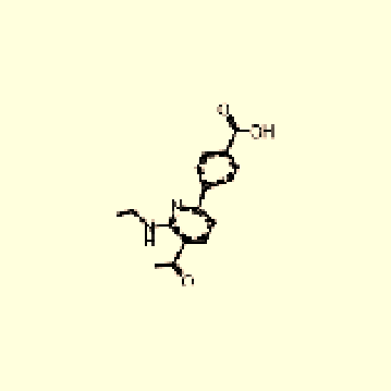 CCNc1nc(-c2ccc(C(=O)O)cc2)ccc1C(C)=O